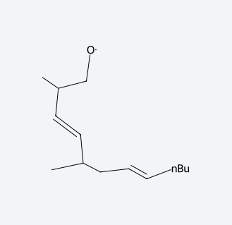 CCCCC=CCC(C)C=CC(C)C[O]